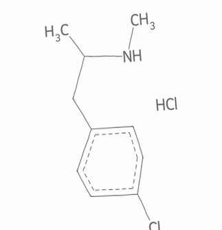 CNC(C)Cc1ccc(Cl)cc1.Cl